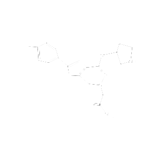 NC(=O)CN1Cc2sc(-c3ccc(Cl)cc3)cc2C(NC2CCNC2)=N1